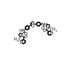 Cc1ncccc1C(=O)N1CCC[C@H]1C(=O)Nc1ccc(-c2cnc(-c3ccc(NC(=O)[C@@H]4CCCN4C(=O)c4cccnc4C)cc3)o2)cc1